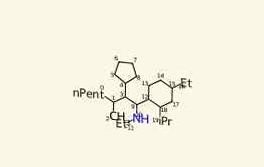 CCCCCC(C)C(C1CCCC1)C(NCC)C1CCC(CC)CC1C(C)C